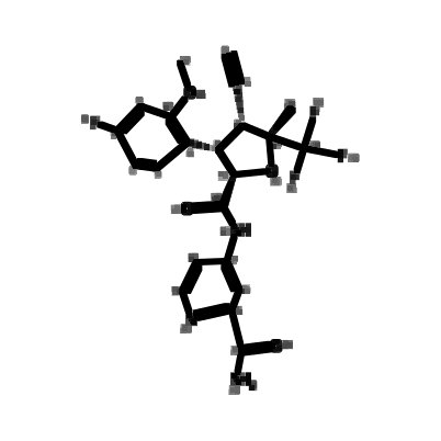 C#C[C@H]1[C@@H](c2ccc(F)cc2OC)[C@H](C(=O)Nc2ccnc(C(N)=O)c2)O[C@@]1(C)C(F)(F)F